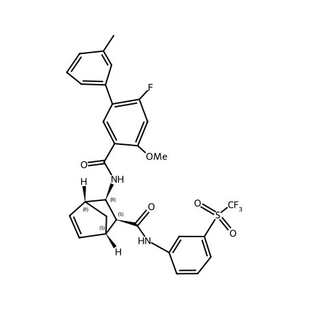 COc1cc(F)c(-c2cccc(C)c2)cc1C(=O)N[C@H]1[C@@H](C(=O)Nc2cccc(S(=O)(=O)C(F)(F)F)c2)[C@@H]2C=C[C@H]1C2